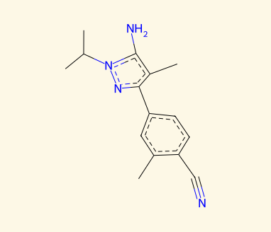 Cc1cc(-c2nn(C(C)C)c(N)c2C)ccc1C#N